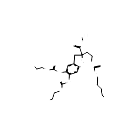 CCCCCOC(=O)O[C@@H](C)CC(N)(Cc1ccc(OC(=O)OCCC)c(OC(=O)OCCC)c1)C(=O)OC